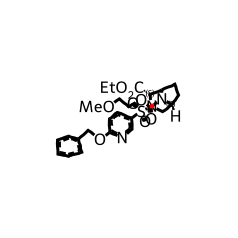 CCOC(=O)[C@@H]1C2CC[C@H](CN1S(=O)(=O)c1ccc(OCc3ccccc3)nc1)N2C(=O)OCCOC